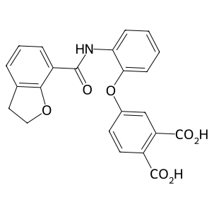 O=C(O)c1ccc(Oc2ccccc2NC(=O)c2cccc3c2OCC3)cc1C(=O)O